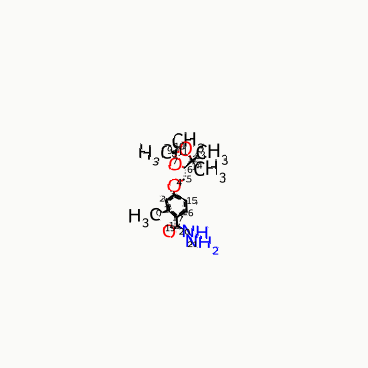 Cc1cc(OC[C@@H]2OC(C)(C)OC2(C)C)ccc1C(=O)NN